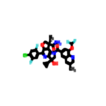 Cc1cnc2c(OC(F)F)cc(C(=O)NCC(O)(c3cc4c(c(-c5cc(F)c(Cl)cc5F)n3)OC[C@]4(C)C(N)=O)C3CC3)cc2c1